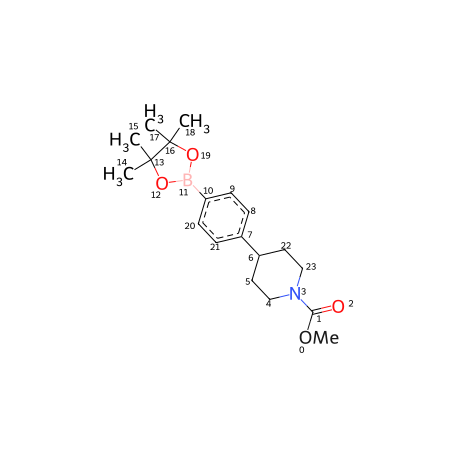 COC(=O)N1CCC(c2ccc(B3OC(C)(C)C(C)(C)O3)cc2)CC1